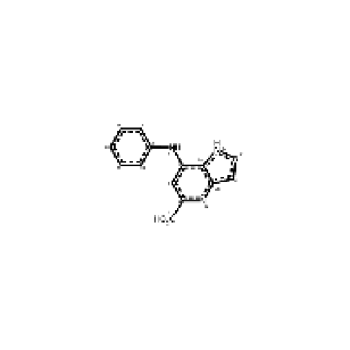 O=C(O)c1cc(Nc2ccccc2)c2[nH]ncc2n1